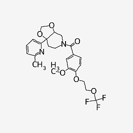 COc1cc(C(=O)N2CCC3(c4cccc(C)n4)OCOC3C2)ccc1OCCOC(F)(F)F